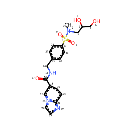 CN(CC(O)CO)S(=O)(=O)c1ccc(CNC(=O)c2ccc3nccn3c2)cc1